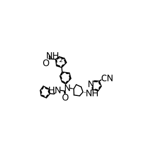 N#Cc1ccc(N[C@H]2CC[C@H](N(C(=O)NCc3ccccc3)c3ccc(-c4cccc(C(N)=O)c4)cc3)CC2)nc1